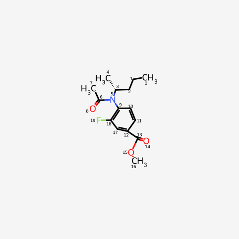 CCC[C@@H](C)N(C(C)=O)c1ccc(C(=O)OC)cc1F